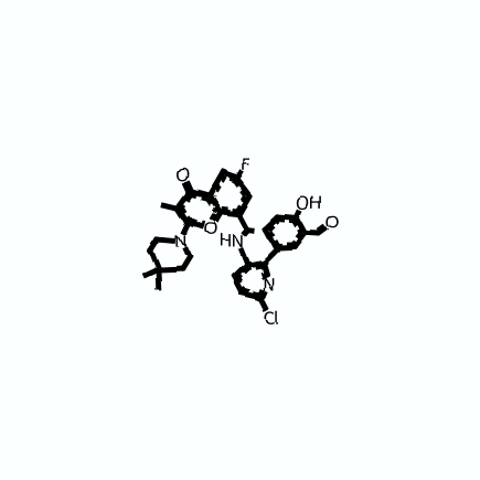 Cc1c(N2CCC(C)(C)CC2)oc2c(C(C)Nc3ccc(Cl)nc3-c3ccc(O)c(C=O)c3)cc(F)cc2c1=O